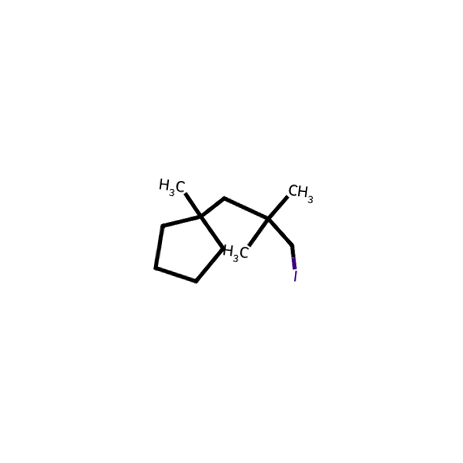 CC(C)(CI)CC1(C)CCCC1